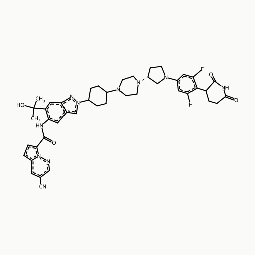 CC(C)(O)c1cc2nn(C3CCC(N4CCN([C@@H]5CCN(c6cc(F)c(C7CCC(=O)NC7=O)c(F)c6)C5)CC4)CC3)cc2cc1NC(=O)c1ccc2cc(C#N)cnn12